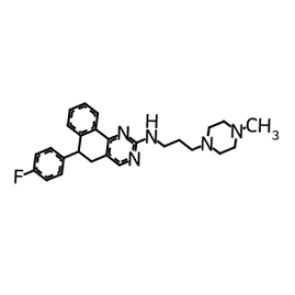 CN1CCN(CCCNc2ncc3c(n2)-c2ccccc2C(c2ccc(F)cc2)C3)CC1